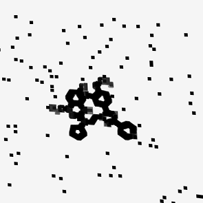 COc1ccc(-c2nc(-c3ccncc3)nn2CCN(C(=O)Nc2cc(Cl)ccc2OC)C2CCCC2)cc1Cl